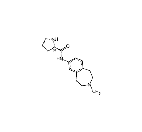 CN1CCc2ccc(NC(=O)[C@H]3CCCN3)cc2CC1